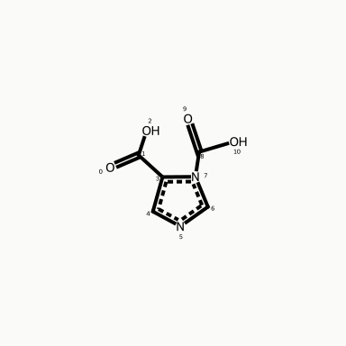 O=C(O)c1cncn1C(=O)O